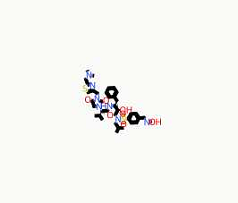 CC(C)CN(C[C@H](O)[C@H](Cc1ccccc1)NC(=O)[C@H](C(C)C)N1CC(=O)N(Cc2csc(CN(C)C)n2)C1=O)S(=O)(=O)c1ccc(C=NO)cc1